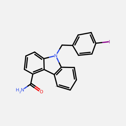 NC(=O)c1cccc2c1c1[c]cccc1n2Cc1ccc(I)cc1